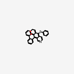 C1=c2c(Sc3ccccc3)c3ccncc3c(-c3ccccc3-c3ccccc3)c2=CCC1